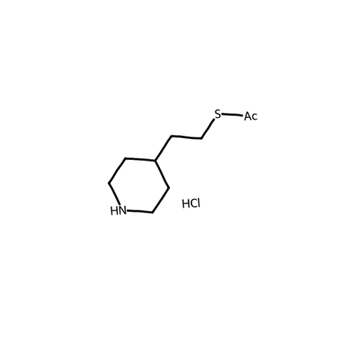 CC(=O)SCCC1CCNCC1.Cl